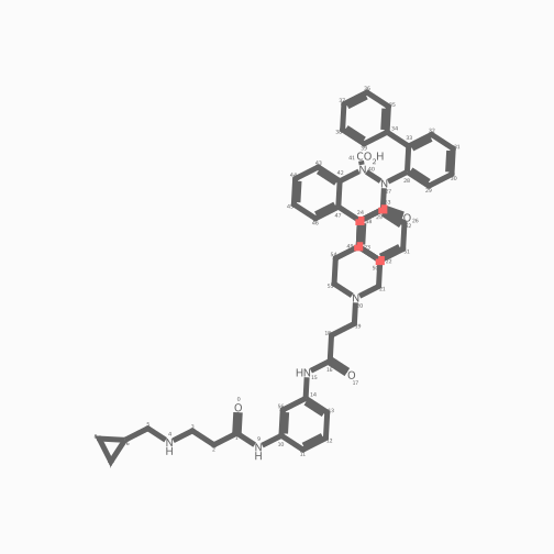 O=C(CCNCC1CC1)Nc1cccc(NC(=O)CCN2CCC(OC(=O)N(c3ccccc3-c3ccccc3)N(C(=O)O)c3ccccc3-c3ccccc3)CC2)c1